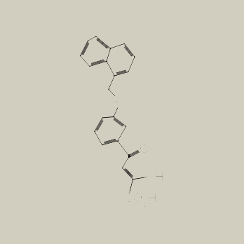 O=C(O)C(O)=CC(=O)c1cccc(OCc2cccc3ccccc23)c1